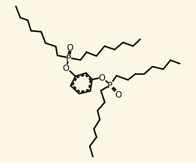 CCCCCCCCP(=O)(CCCCCCCC)Oc1cccc(OP(=O)(CCCCCCCC)CCCCCCCC)c1